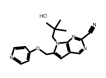 CC(C)(C)Cn1c(COc2ccncc2)cc2cnc(C#N)nc21.Cl